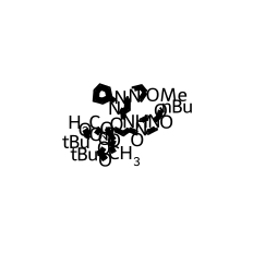 CCCCOC(=O)N1CCN(C(=O)C(CCP(=O)(OC(C)OC(=O)C(C)(C)C)OC(C)OC(=O)C(C)(C)C)NC(=O)c2cc(N3CCC(OC)C3)nc(-c3ccccc3)n2)CC1